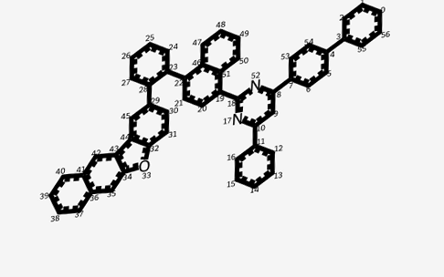 c1ccc(-c2ccc(-c3cc(-c4ccccc4)nc(-c4ccc(-c5ccccc5-c5ccc6oc7cc8ccccc8cc7c6c5)c5ccccc45)n3)cc2)cc1